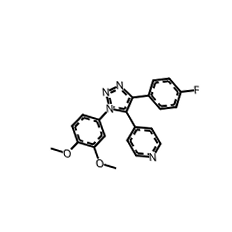 COc1ccc(-n2nnc(-c3ccc(F)cc3)c2-c2ccncc2)cc1OC